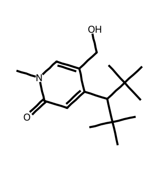 Cn1cc(CO)c(C(C(C)(C)C)C(C)(C)C)cc1=O